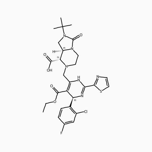 CCOC(=O)C1=C(CN2CCN3C(=O)N(C(C)(C)C)C[C@@H]3[C@H]2C(=O)O)NC(c2nccs2)=N[C@H]1c1ccc(F)cc1Cl